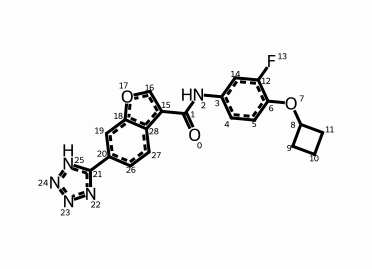 O=C(Nc1ccc(OC2CCC2)c(F)c1)c1coc2cc(-c3nnn[nH]3)ccc12